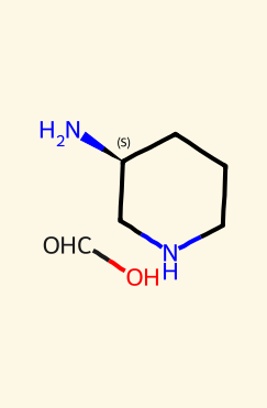 N[C@H]1CCCNC1.O=CO